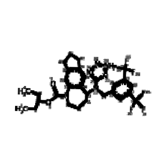 CCC(CC)OC(=O)N1CCCC(N(Cc2cc(C(F)(F)F)cc(C(F)(F)F)c2)c2nn[nH]n2)c2cc3c(cc21)CCC3